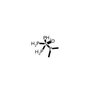 CP(C)S(=O)(P)(P)P